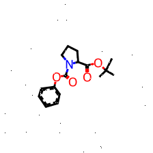 CC(C)(C)OC(=O)C1CCCN1C(=O)Oc1ccccc1